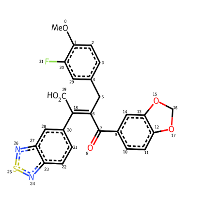 COc1ccc(C/C(C(=O)c2ccc3c(c2)OCO3)=C(\C(=O)O)c2ccc3nsnc3c2)cc1F